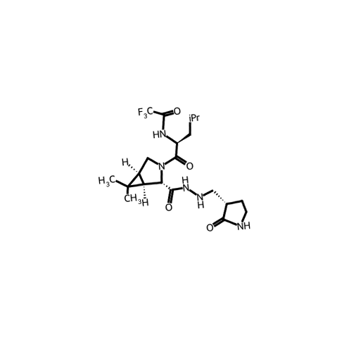 CC(C)C[C@H](NC(=O)C(F)(F)F)C(=O)N1C[C@H]2[C@@H]([C@H]1C(=O)NNC[C@@H]1CCNC1=O)C2(C)C